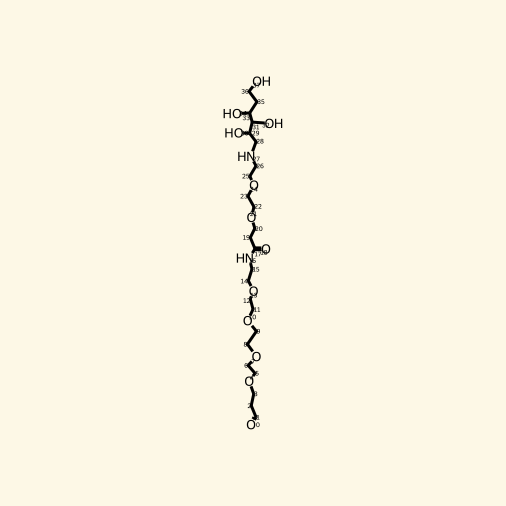 O=CCCOCCOCCOCCOCCNC(=O)CCOCCOCCNCC(O)C(O)C(O)CCO